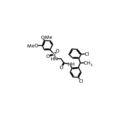 COc1ccc(S(=O)(=O)NCC(=O)Nc2ccc(Cl)cc2C(C)c2ccccc2Cl)cc1OC